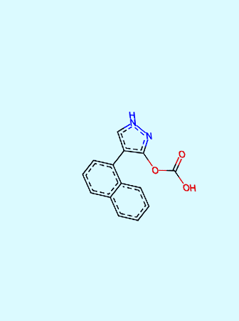 O=C(O)Oc1n[nH]cc1-c1cccc2ccccc12